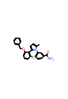 Cc1ccc(-c2c(Cl)cccc2OCc2ccccc2)n1-c1cccc(C(N)=O)c1